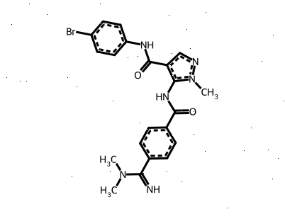 CN(C)C(=N)c1ccc(C(=O)Nc2c(C(=O)Nc3ccc(Br)cc3)cnn2C)cc1